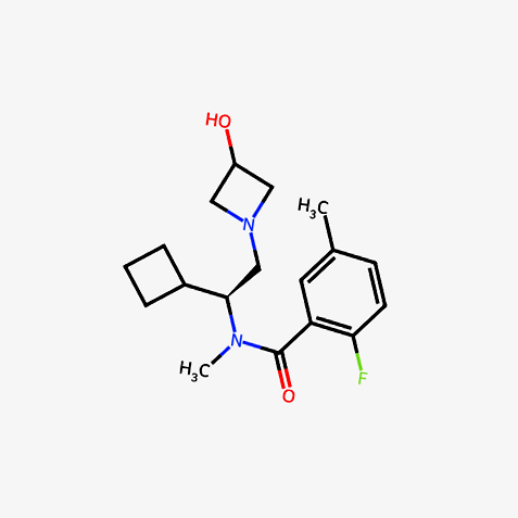 Cc1ccc(F)c(C(=O)N(C)[C@H](CN2CC(O)C2)C2CCC2)c1